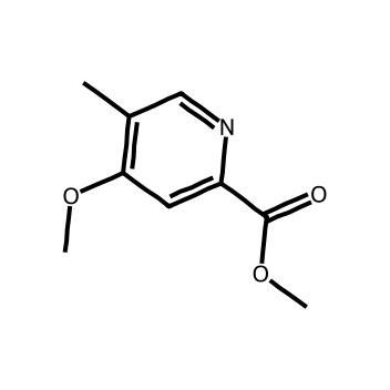 COC(=O)c1cc(OC)c(C)cn1